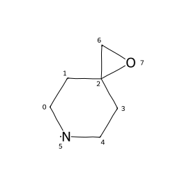 C1CC2(CC[N]1)CO2